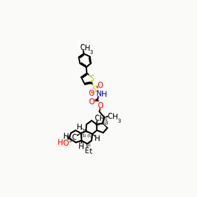 CC[C@H]1C[C@H]2C3CC[C@H]([C@H](C)COC(=O)NS(=O)(=O)c4ccc(-c5ccc(C)cc5)s4)[C@@]3(C)CC[C@@H]2[C@@]2(C)CC[C@@H](O)C[C@@H]12